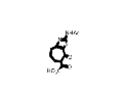 CC(=O)Nc1nc2c(s1)C(=O)C(C(=O)C(=O)O)CCC2